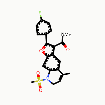 CNC(=O)c1c(-c2ccc(F)cc2)oc2cc3c(cc12)C(C)=CCN3S(C)(=O)=O